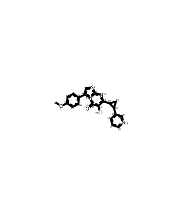 COc1ccc(-c2csc3nc(C4CC4c4cccnc4)c(Cl)c(=O)n23)cc1